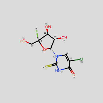 O=c1[nH]c(=S)n([C@@H]2O[C@](F)(CO)[C@@H](O)[C@H]2O)cc1Cl